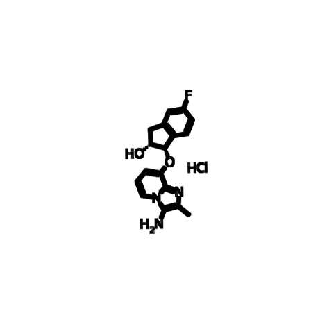 Cc1nc2c(O[C@@H]3c4ccc(F)cc4C[C@H]3O)cccn2c1N.Cl